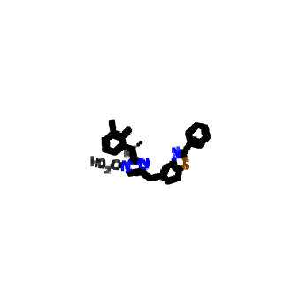 Cc1cccc([C@H](C)c2nc(Cc3ccc4sc(-c5ccccc5)nc4c3)cn2C(=O)O)c1C